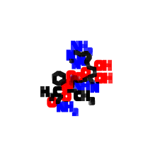 C[C@H](NP(=O)(OC[C@@]1(C#N)O[C@@H](c2ccc3c(N)ncnn23)[C@H](O)[C@@H]1O)Oc1ccccc1)C(=O)O[C@@H](C)C(N)=O